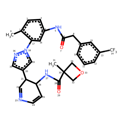 Cc1ccc(NC(=O)Cc2cccc(C(F)(F)F)c2)cc1-n1cc(C2C=NC=CC2NC(=O)C2(C)COC2)cn1